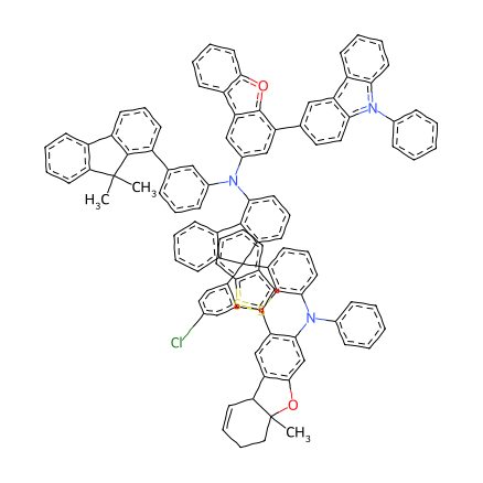 CC1(C)c2ccccc2-c2cccc(-c3cccc(N(c4cc(-c5ccc6c(c5)c5ccccc5n6-c5ccccc5)c5oc6ccccc6c5c4)c4cccc5c4-c4ccccc4C54c5ccc(Cl)cc5Sc5c(N(c6ccccc6)c6cc7c(cc6-c6cc8ccccc8s6)C6C=CCCC6(C)O7)cccc54)c3)c21